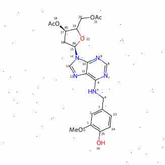 COc1cc(CNc2ncnc3c2ncn3[C@H]2C[C@@H](OC(C)=O)C(COC(C)=O)O2)ccc1O